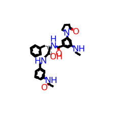 CCNc1cc(C(=O)N[C@@H](Cc2ccccc2)[C@@H](O)CNCc2cccc(NC(C)=O)c2)cc(N2CCCC2=O)c1